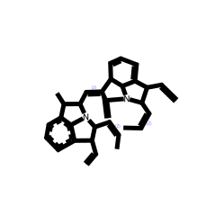 C=CC1C2=CC=CC3/C(=C/C4C(C)c5cccc6c5N4C(/C=C\C)C6C=C)C(=C)N(C1/C=C\C)C23